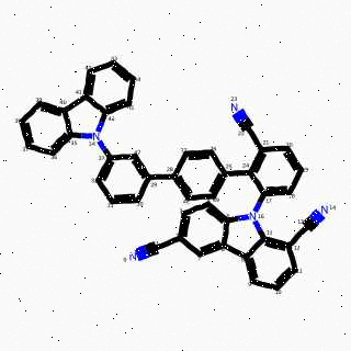 N#Cc1ccc2c(c1)c1cccc(C#N)c1n2-c1cccc(C#N)c1-c1ccc(-c2cccc(-n3c4ccccc4c4ccccc43)c2)cc1